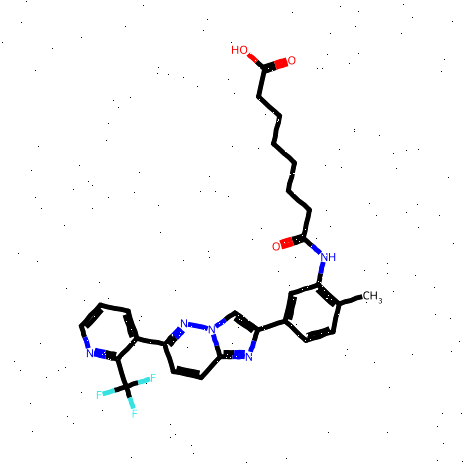 Cc1ccc(-c2cn3nc(-c4cccnc4C(F)(F)F)ccc3n2)cc1NC(=O)CCCCCCC(=O)O